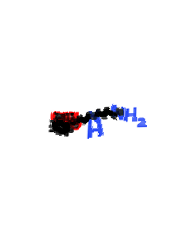 NCCCCNCCCOC(=O)c1ccccc1O